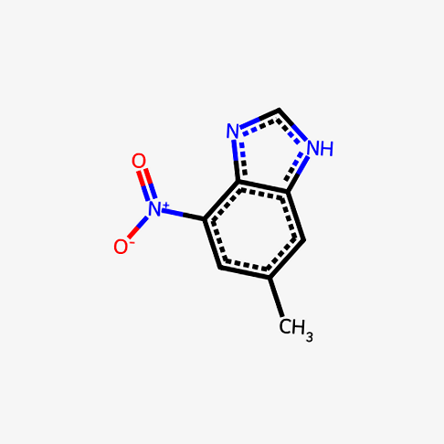 Cc1cc([N+](=O)[O-])c2nc[nH]c2c1